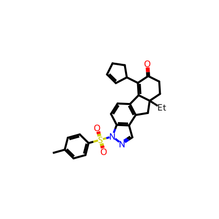 CCC12CCC(=O)C(C3C=CCC3)=C1c1ccc3c(cnn3S(=O)(=O)c3ccc(C)cc3)c1C2